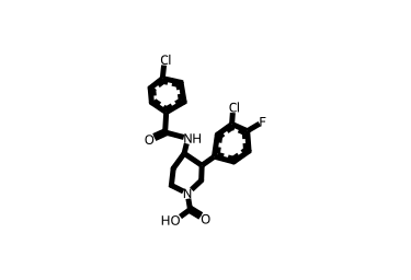 O=C(NC1CCN(C(=O)O)CC1c1ccc(F)c(Cl)c1)c1ccc(Cl)cc1